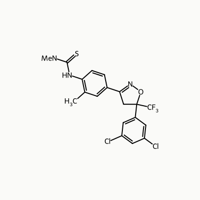 CNC(=S)Nc1ccc(C2=NOC(c3cc(Cl)cc(Cl)c3)(C(F)(F)F)C2)cc1C